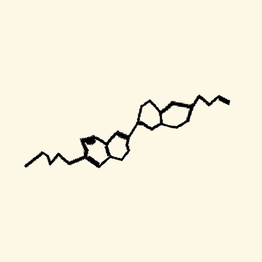 C=CCCC1CCC2CC(C3CCc4cc(CCCCC)ccc4C3)CCC2C1